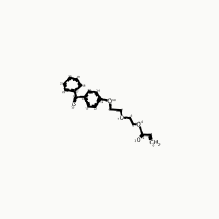 C=CC(=O)OCCOCCOc1ccc(C(=O)c2ccccc2)cc1